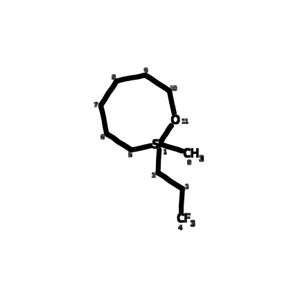 C[Si]1(CCC(F)(F)F)CCCCCCO1